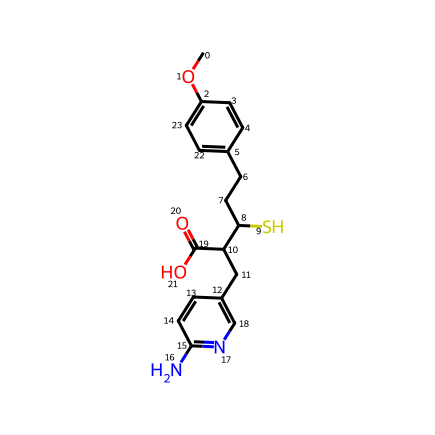 COc1ccc(CCC(S)C(Cc2ccc(N)nc2)C(=O)O)cc1